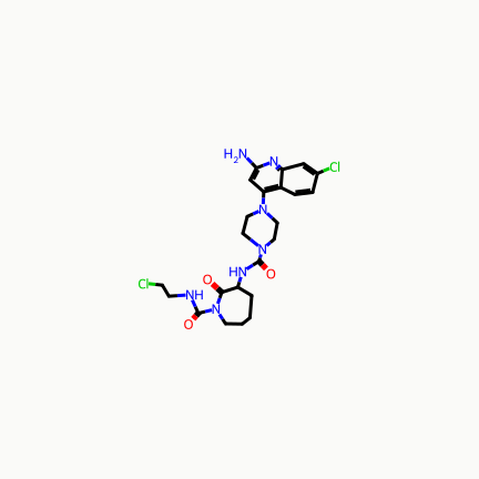 Nc1cc(N2CCN(C(=O)NC3CCCCN(C(=O)NCCCl)C3=O)CC2)c2ccc(Cl)cc2n1